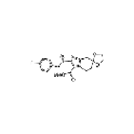 COC(=O)c1c(N(Cc2ccc(F)cc2)C(C)=O)sc2c1CCC1(C2)OCCO1